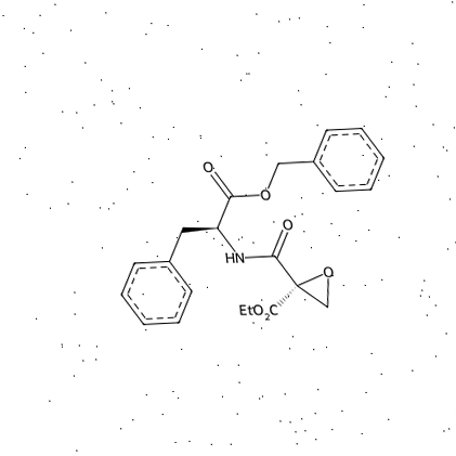 CCOC(=O)[C@@]1(C(=O)N[C@@H](Cc2ccccc2)C(=O)OCc2ccccc2)CO1